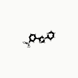 O=[N+]([O-])c1cccc(-c2cn(-c3ccccn3)cn2)c1